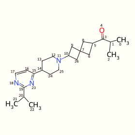 CC(C)C(=O)C1CC2(C1)CC(N1CCC(c3ccnc(C(C)C)n3)CC1)C2